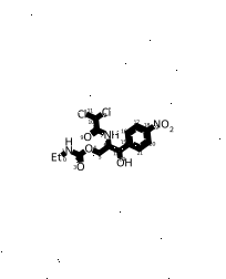 [CH2]CNC(=O)OCC(NC(=O)C(Cl)Cl)C(O)c1ccc([N+](=O)[O-])cc1